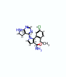 CCc1ccc(Cl)cc1-c1c(C(N)=O)ccn1-c1ncnc2c1CCN2